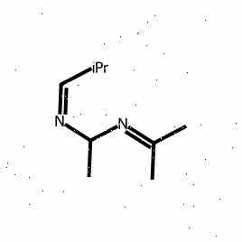 CC(C)=NC(C)/N=C\C(C)C